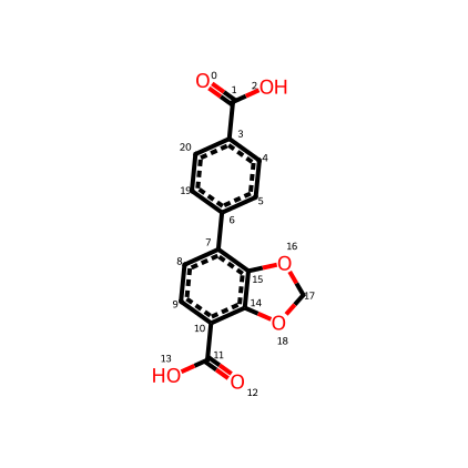 O=C(O)c1ccc(-c2ccc(C(=O)O)c3c2OCO3)cc1